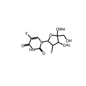 COC1(CO)OC(n2cc(F)c(=O)[nH]c2=O)C(F)C1OC(C)=O